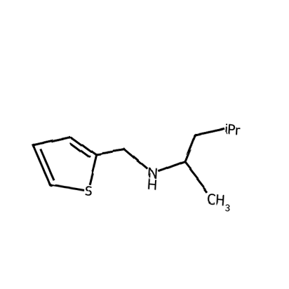 CC(C)CC(C)NCc1cccs1